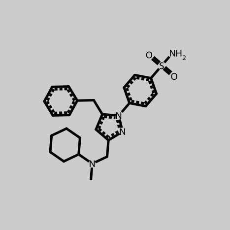 CN(Cc1cc(Cc2ccccc2)n(-c2ccc(S(N)(=O)=O)cc2)n1)C1CCCCC1